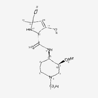 CO[C@H]1CN(C(=O)O)CC[C@H]1NC(=O)C1NC(C)(Cl)C=C1Cl